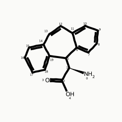 N[C@@H](C(=O)O)C1c2ccccc2C=Cc2ccccc21